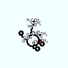 COc1c2cc3ccccc3c1-c1c(OC)c(cc3ccccc13)CC(NC(C)=O)C(=O)N[C@H](CCCCNC(=O)OC(C)(C)C)C(=O)N[C@H](C(=O)OCc1ccccc1)CC=CC2